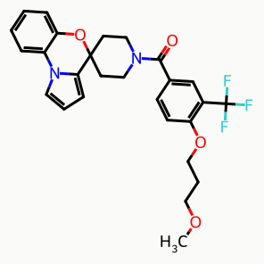 COCCCOc1ccc(C(=O)N2CCC3(CC2)Oc2ccccc2-n2cccc23)cc1C(F)(F)F